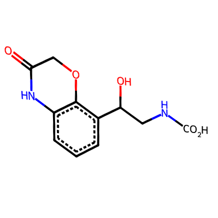 O=C(O)NCC(O)c1cccc2c1OCC(=O)N2